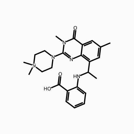 Cc1cc(C(C)Nc2ccccc2C(=O)O)c2nc(N3CC[Si](C)(C)CC3)n(C)c(=O)c2c1